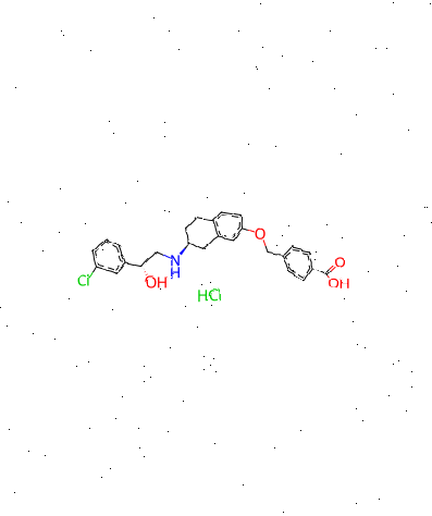 Cl.O=C(O)c1ccc(COc2ccc3c(c2)C[C@@H](NC[C@H](O)c2cccc(Cl)c2)CC3)cc1